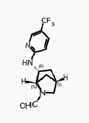 O=CN1C[C@H]2C[C@@H](Nc3ccc(C(F)(F)F)cn3)[C@@H]1C2